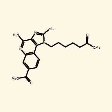 CCCCc1nc2c(N)nc3cc(C(=O)OC)ccc3c2n1CCCCCC(=O)OC